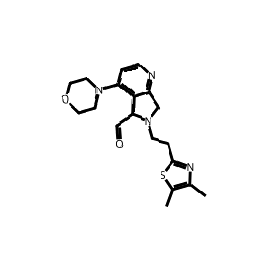 Cc1nc(CCN2Cc3nccc(N4CCOCC4)c3C2C=O)sc1C